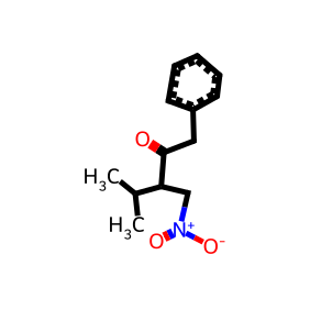 CC(C)C(C[N+](=O)[O-])C(=O)Cc1ccccc1